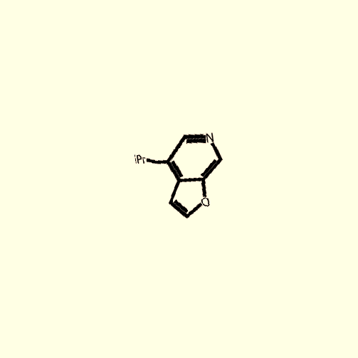 CC(C)c1cncc2occc12